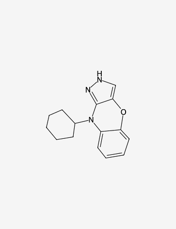 c1ccc2c(c1)Oc1c[nH]nc1N2C1CCCCC1